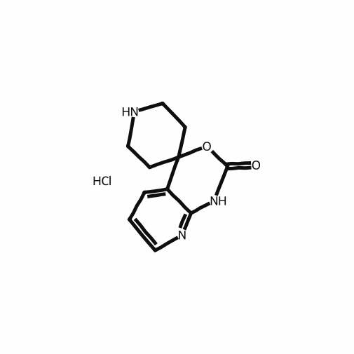 Cl.O=C1Nc2ncccc2C2(CCNCC2)O1